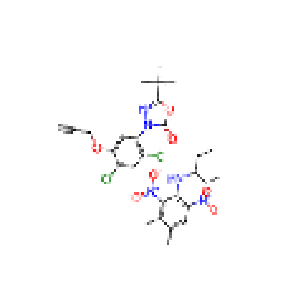 C#CCOc1cc(-n2nc(C(C)(C)C)oc2=O)c(Cl)cc1Cl.CCC(CC)Nc1c([N+](=O)[O-])cc(C)c(C)c1[N+](=O)[O-]